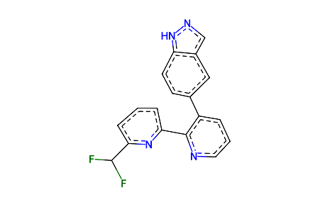 FC(F)c1cccc(-c2ncccc2-c2ccc3[nH]ncc3c2)n1